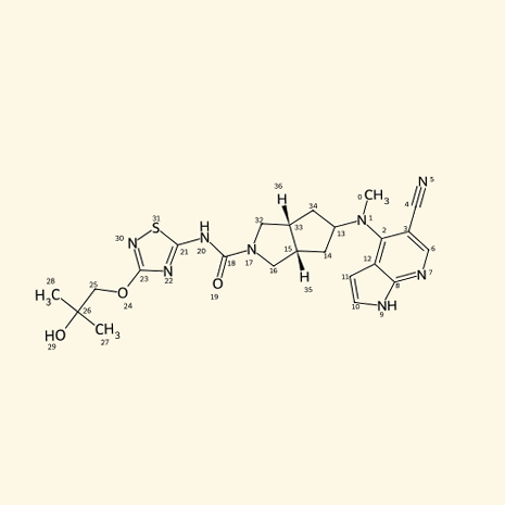 CN(c1c(C#N)cnc2[nH]ccc12)C1C[C@@H]2CN(C(=O)Nc3nc(OCC(C)(C)O)ns3)C[C@@H]2C1